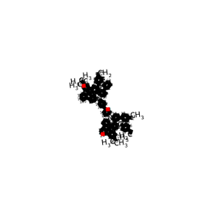 C=Cc1ccc(Oc2ccc(C3(c4ccc(C(C)(C)C)cc4)c4ccccc4-c4ccc(N(c5ccc(-c6ccc(CC)cc6)cc5)c5ccc(-c6ccc(N(c7ccc(-c8cccc(F)c8)cc7)c7ccc8c(c7)C(c7ccc(Oc9ccc(C=C)cc9)cc7)(c7ccc(C(C)(C)C)cc7)c7ccccc7-8)cc6)cc5)cc43)cc2)cc1